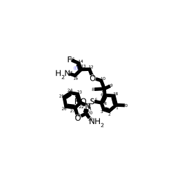 Cc1ccc(S(=O)(=O)O)c(C(C)(C)COC/C(=C/F)CN)c1.Nc1nc2ccccc2o1